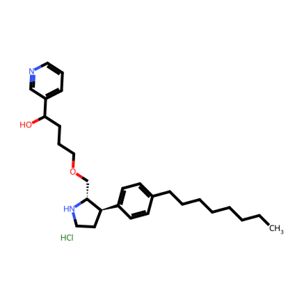 CCCCCCCCc1ccc([C@H]2CCN[C@@H]2COCCCC(O)c2cccnc2)cc1.Cl